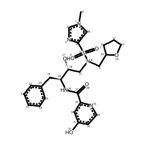 Cn1cnc(S(=O)(=O)N(CC2CCCO2)C[C@@H](O)[C@H](Cc2ccccc2)NC(=O)c2cc(O)ccn2)c1